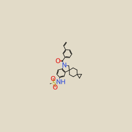 C=Cc1cccc(C(=O)N2CC3(CCC4(CC4)CC3)c3cc(NS(C)(=O)=O)ccc32)c1